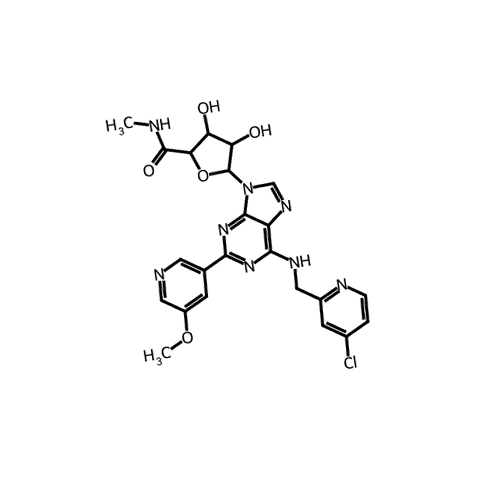 CNC(=O)C1OC(n2cnc3c(NCc4cc(Cl)ccn4)nc(-c4cncc(OC)c4)nc32)C(O)C1O